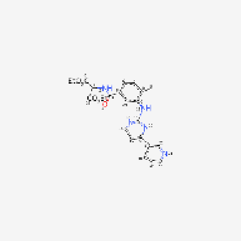 CCOC(=O)C(NC(=O)c1ccc(C)c(Nc2nccc(-c3cccnc3)n2)c1)C(=O)OCC